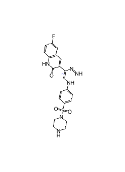 N=N/C(=C\Nc1ccc(S(=O)(=O)N2CCNCC2)cc1)c1cc2cc(F)ccc2[nH]c1=O